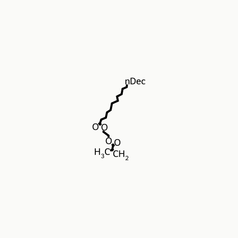 C=C(C)C(=O)OCCOC(=O)CCCCCCCCCCCCCCCCCCCC